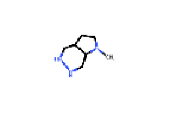 CN1CCC2CNNCC21